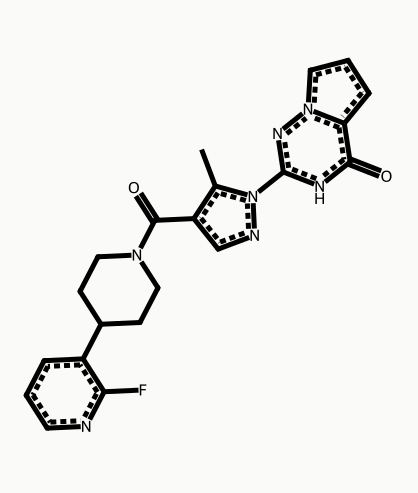 Cc1c(C(=O)N2CCC(c3cccnc3F)CC2)cnn1-c1nn2cccc2c(=O)[nH]1